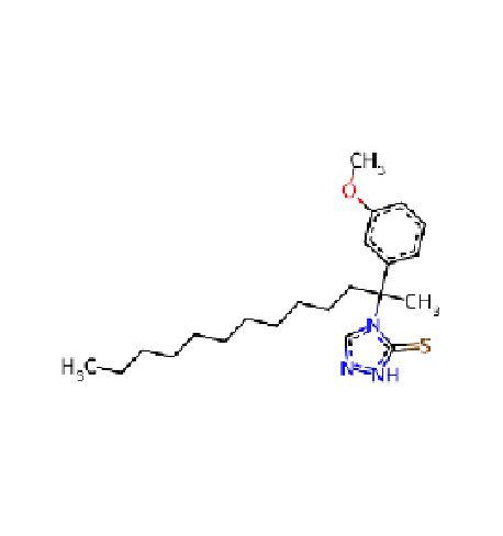 CCCCCCCCCCCC(C)(c1cccc(OC)c1)n1cn[nH]c1=S